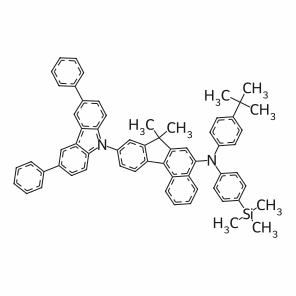 CC(C)(C)c1ccc(N(c2ccc([Si](C)(C)C)cc2)c2cc3c(c4ccccc24)-c2ccc(-n4c5ccc(-c6ccccc6)cc5c5cc(-c6ccccc6)ccc54)cc2C3(C)C)cc1